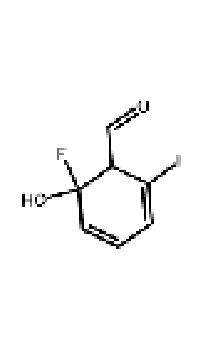 O=CC1C(F)=CC=CC1(O)F